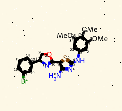 COc1cc(Nc2nc(N)c(C3=NC(c4cccc(Br)c4)CO3)s2)cc(OC)c1OC